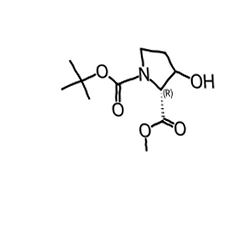 COC(=O)[C@H]1C(O)CCN1C(=O)OC(C)(C)C